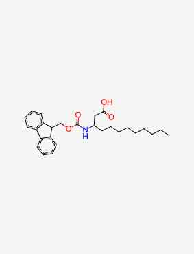 CCCCCCCCCC(CC(=O)O)NC(=O)OCC1c2ccccc2-c2ccccc21